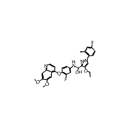 CCOc1cn(-c2ccc(F)cc2C)nc1C(O)Nc1ccc(Oc2ccnc3cc(OC)c(OC)cc23)c(F)c1